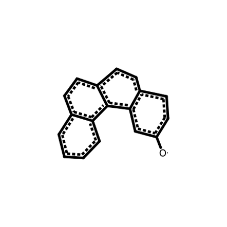 [O]c1ccc2ccc3ccc4ccccc4c3c2c1